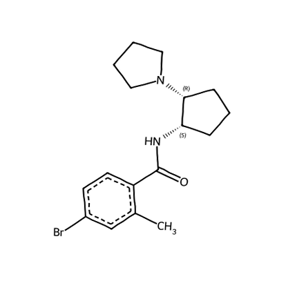 Cc1cc(Br)ccc1C(=O)N[C@H]1CCC[C@H]1N1CCCC1